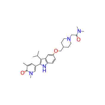 Cc1cc(-c2[nH]c3ccc(OCC4CCN(CC(=O)N(C)C)CC4)cc3c2C(C)C)cn(C)c1=O